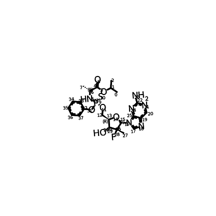 CC(C)OC(=O)[C@@H](C)N[P@](=S)(OC[C@H]1O[C@@H](n2cnc3cnc(N)nc32)[C@](C)(F)[C@@H]1O)Oc1ccccc1